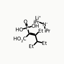 CC(C)[N-]C(C)C.CCC(=C(C(=O)O)P(=O)(O)O)C(CC)CC.[Li+]